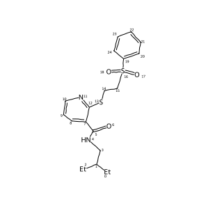 CCC(CC)CNC(=O)c1cccnc1SCCS(=O)(=O)c1ccccc1